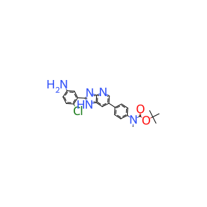 CN(C(=O)OC(C)(C)C)c1ccc(-c2cnc3nc(-c4cc(N)ccc4Cl)[nH]c3c2)cc1